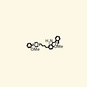 COc1ccc(CCCCN2CCN(c3ccccc3OC)CC2)cc1C(N)c1occ2ccccc12